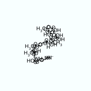 COc1cccc2c1C(=O)c1c(O)c3c(c(O)c1C2=O)C[C@@](O)(C(=O)CO)CC3O[C@H]1CC(NC(=O)OCc2ccc(OC(=O)N(C)CCN(C)P(=O)(O)OCCC(NC(=O)c3ccc(CN=[N+]=[N-])cc3)C(=O)O)cc2)C(O)C(C)O1